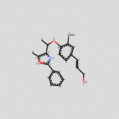 COc1cc(C=CCO)ccc1OC(C)c1nc(-c2ccccc2)oc1C